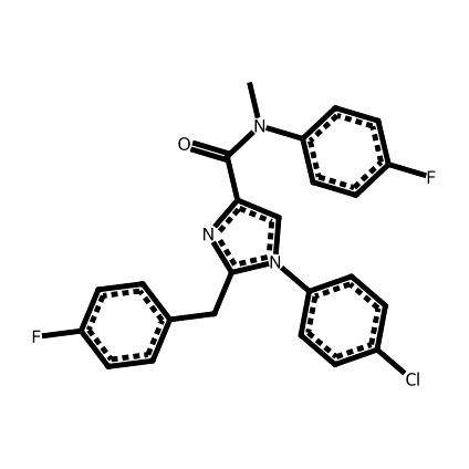 CN(C(=O)c1cn(-c2ccc(Cl)cc2)c(Cc2ccc(F)cc2)n1)c1ccc(F)cc1